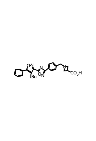 CC(C)(C)c1c(-c2nc(-c3ccc(CN4CC(C(=O)O)C4)cc3)no2)noc1-c1ccccc1